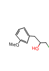 COc1cccc(CC(O)CCl)c1